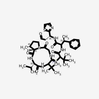 CC(C)[C@@H]1NC(=O)[C@@H]2[C@H](C)CCN2C(=O)CN/C(=N\C(C(=O)NC(C(=O)N[C@H](CC=O)c2nccs2)[C@@H](C)c2ccccc2)C(C)(C)C)C(C(C)(C)C)NC1=O